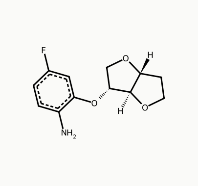 Nc1ccc(F)cc1O[C@@H]1CO[C@@H]2CCO[C@H]21